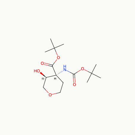 CC(C)(C)OC(=O)N[C@]1(C(=O)OC(C)(C)C)CCOC[C@H]1O